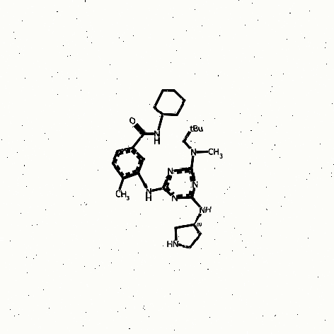 Cc1ccc(C(=O)NC2CCCCC2)cc1Nc1nc(N[C@H]2CCNC2)nc(N(C)CC(C)(C)C)n1